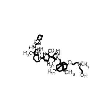 CC1=C(Nc2nc3ccccc3s2)NNC2=C1CCCN2c1ccc(-c2cnn(CC34CC5(C)CC(C)(C3)CC(OCCN(C)CCO)(C5)C4)c2C)c(C(=O)O)n1